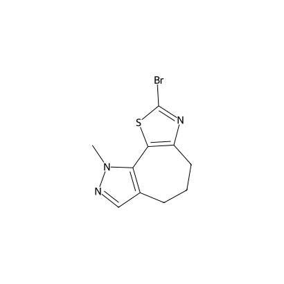 Cn1ncc2c1-c1sc(Br)nc1CCC2